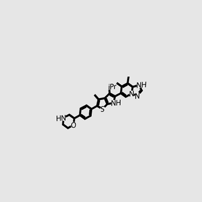 CC1=C(C)C2NC=NN2C=C1c1[nH]c2sc(-c3ccc(C4CNCCO4)cc3)c(C)c2c1C(C)C